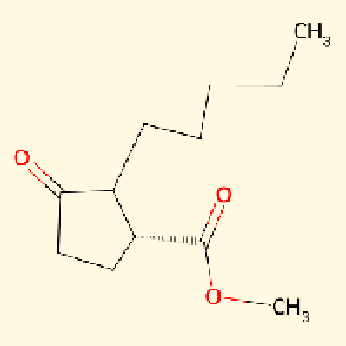 CCCCCC1C(=O)CC[C@H]1C(=O)OC